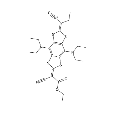 [C-]#[N+]C(CC)=C1Sc2c(c(N(CC)CC)c3c(c2N(CC)CC)SC(=C(C#N)C(=O)OCC)S3)S1